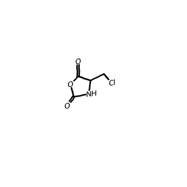 O=C1NC(CCl)C(=O)O1